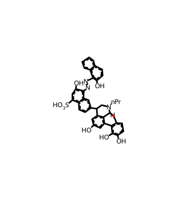 CCCN1CC(c2ccc3c(S(=O)(=O)O)cc(O)c(/N=N/c4c(O)ccc5ccccc45)c3c2)c2cc(O)cc3c2[C@H]1Cc1ccc(O)c(O)c1-3